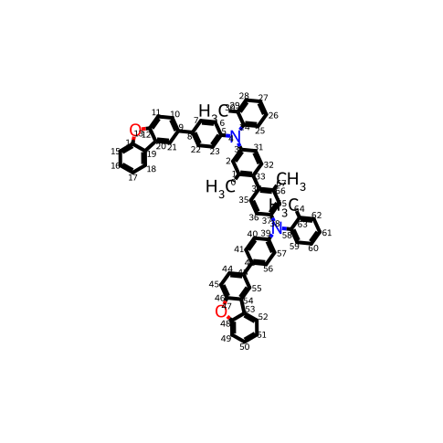 Cc1cc(N(c2ccc(-c3ccc4oc5ccccc5c4c3)cc2)c2ccccc2C)ccc1-c1ccc(N(c2ccc(-c3ccc4oc5ccccc5c4c3)cc2)c2ccccc2C)cc1C